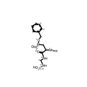 CCCCCC(CN(C=O)OCc1ccccc1)C(=O)NCNC(=O)O